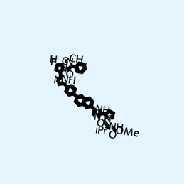 COC(=O)NC(C(=O)N1CCCC1c1ncc(-c2ccc3cc(-c4ccc(-c5cnc(C6CC(F)CN6C(=O)C(c6ccccc6)N(C)C)[nH]5)cc4)ccc3c2)[nH]1)C(C)C